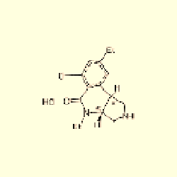 CCc1cc(Cl)c2c(c1)[C@H]1CNC[C@@H]1N(CC)C2=O.Cl